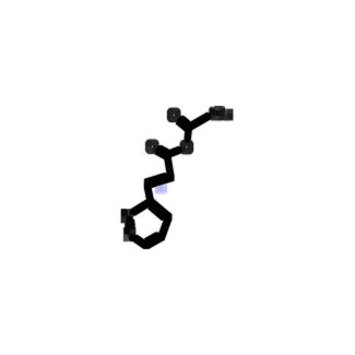 CC(C)(C)C(=O)OC(=O)/C=C/c1cccnn1